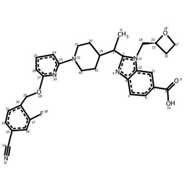 CC(c1nc2ccc(C(=O)O)cc2n1C[C@@H]1CCO1)C1CCN(c2cccc(OCc3ccc(C#N)cc3F)n2)CC1